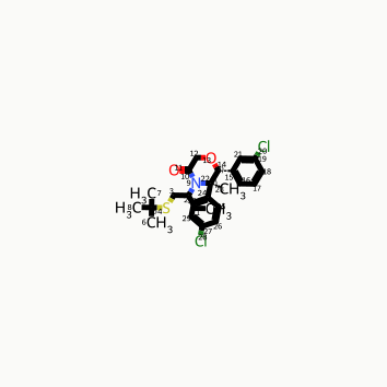 CCC(CSC(C)(C)C)N1C(=O)CO[C@H](c2cccc(Cl)c2)[C@@]1(C)c1ccc(Cl)cc1